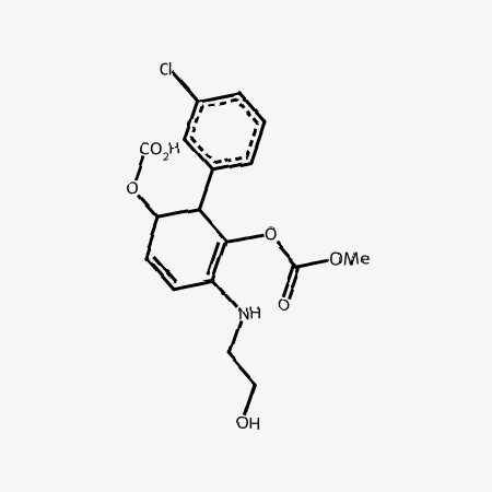 COC(=O)OC1=C(NCCO)C=CC(OC(=O)O)C1c1cccc(Cl)c1